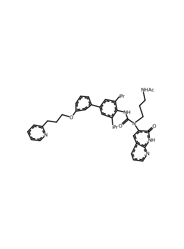 CC(=O)NCCCN(C(=O)Nc1c(C(C)C)cc(-c2cccc(OCCCc3ccccn3)c2)cc1C(C)C)c1cc2cccnc2[nH]c1=O